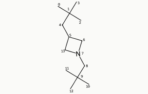 CC(C)(C)CC1CN(CC(C)(C)C)C1